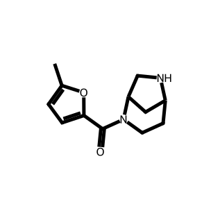 Cc1ccc(C(=O)N2CCC3CC2CN3)o1